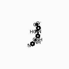 CN(C)c1ccc(NC(=O)Nc2ccc(-c3nc4ccc([N+](=O)[O-])cc4n3O)cc2)cc1